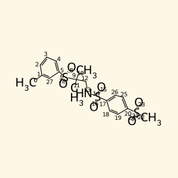 Cc1cccc(S(=O)(=O)C(C)(C)CNS(=O)(=O)c2ccc(S(C)(=O)=O)cc2)c1